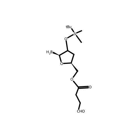 B[C@@H]1O[C@H](COC(=O)CCC=O)CC1O[Si](C)(C)C(C)(C)C